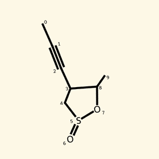 CC#CC1CS(=O)OC1C